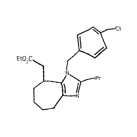 CCOC(=O)CC1CCCCc2nc(C(C)C)n(Cc3ccc(Cl)cc3)c21